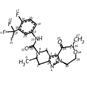 CC1Cc2nn3c(c2CN1C(=O)Nc1ccc(F)c(C(F)(F)F)c1)C(=O)N(C)OCC3